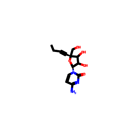 CCC#C[C@]1(CO)O[C@@H](n2ccc(N)nc2=O)C(O)C1O